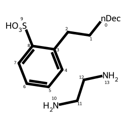 CCCCCCCCCCCCc1ccccc1S(=O)(=O)O.NCCN